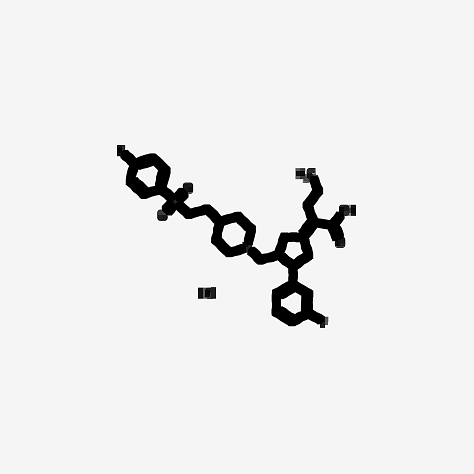 CCC/C(C(=O)O)=C1\CC(CN2CCC(CCS(=O)(=O)c3ccc(F)cc3)CC2)C(c2cccc(F)c2)C1.Cl